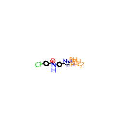 C=C(/C=C\C(N)c1ccc(NC(=O)c2ccc(Cl)cc2)cc1)C(P)(P)P